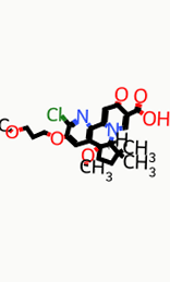 COCCCOc1cc2c(nc1Cl)-c1cc(=O)c(C(=O)O)cn1[C@@H]1C(C)(C)CCC21OC